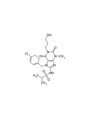 CC(C)S(=O)(=O)Nc1nc2c(c(=O)n(CCCO)c(=O)n2C)n1CC1=CC=C(Cl)CC1